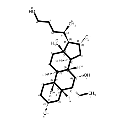 CC[C@H]1[C@@H](O)[C@@H]2[C@H](CC[C@]3(C)[C@@H]([C@H](C)CCCO)[C@H](O)C[C@@H]23)[C@@]2(C)CC[C@@H](O)C[C@@H]12